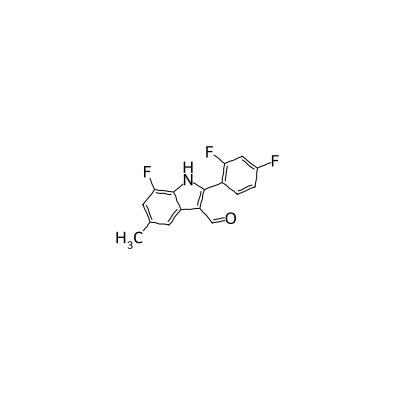 Cc1cc(F)c2[nH]c(-c3ccc(F)cc3F)c(C=O)c2c1